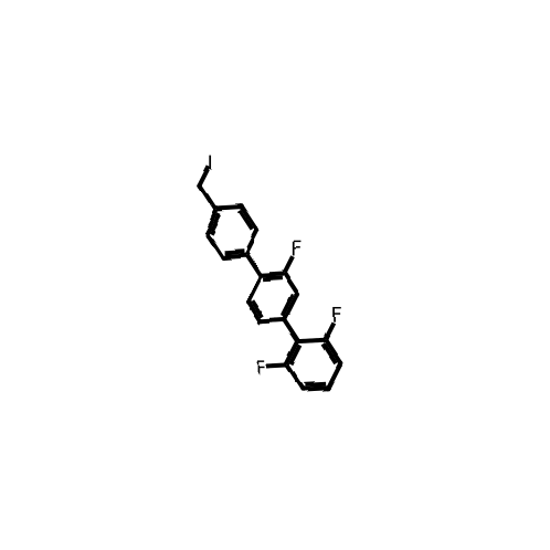 Fc1cc(-c2c(F)cccc2F)ccc1-c1ccc(CI)cc1